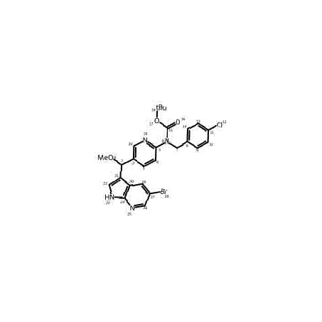 COC(c1ccc(N(Cc2ccc(Cl)cc2)C(=O)OC(C)(C)C)nc1)c1c[nH]c2ncc(Br)cc12